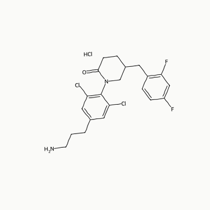 Cl.NCCCc1cc(Cl)c(N2CC(Cc3ccc(F)cc3F)CCC2=O)c(Cl)c1